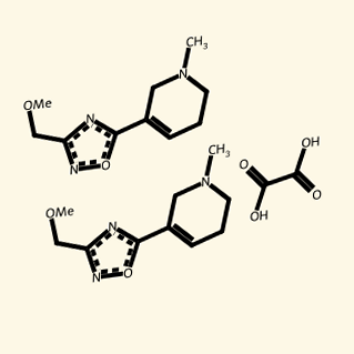 COCc1noc(C2=CCCN(C)C2)n1.COCc1noc(C2=CCCN(C)C2)n1.O=C(O)C(=O)O